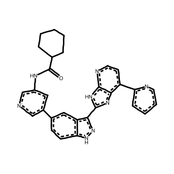 O=C(Nc1cncc(-c2ccc3[nH]nc(-c4nc5c(-c6ccccn6)ccnc5[nH]4)c3c2)c1)C1CCCCC1